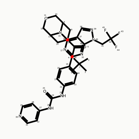 CC(C)(C)OC(=O)N1CC2COCC(C1)N2c1nc(-c2ccc(NC(=O)Nc3ccncc3)cc2)nc2c1cnn2CC(F)(F)F